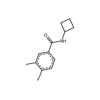 Cc1cc(C(=O)NC2CCC2)ccc1F